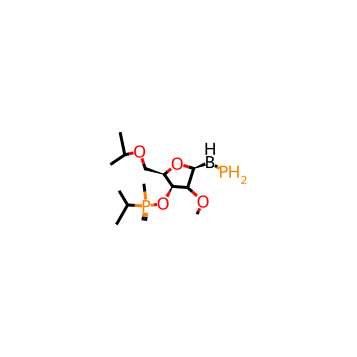 C=P(C)(O[C@@H]1C(OC)[C@H](BP)O[C@@H]1COC(C)C)C(C)C